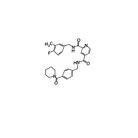 Cc1cc(CNC(=O)c2cc(C(=O)NCc3ccc(C(=O)N4CCCCC4)cc3)ccn2)ccc1F